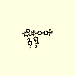 C=C(OCC)N1CCC(N2C(Cn3c(SCc4ccc(F)cc4)nc(=O)c4c3CCC4)=NOC2c2ccc(-c3ccc(C(F)(F)F)cc3)cc2)CC1